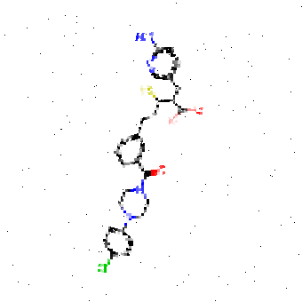 Nc1ccc(CC(C(=O)O)C(S)CCc2cccc(C(=O)N3CCN(c4ccc(Cl)cc4)CC3)c2)cn1